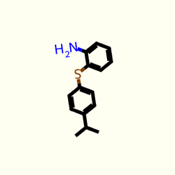 CC(C)c1ccc(Sc2ccccc2N)cc1